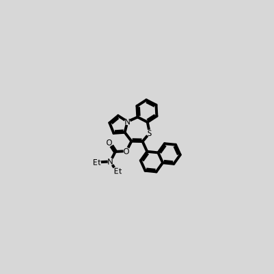 CCN(CC)C(=O)OC1=C(c2cccc3ccccc23)Sc2ccccc2-n2cccc21